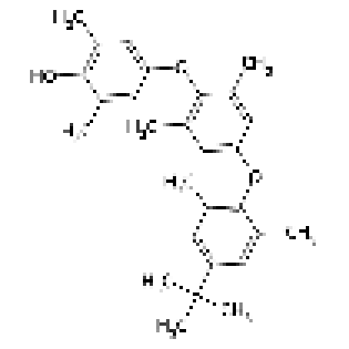 Cc1cc(Oc2c(C)cc(Oc3c(C)cc(C(C)(C)C)cc3C)cc2C)cc(C)c1O